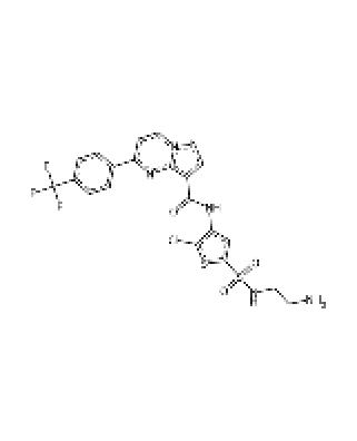 NCCNS(=O)(=O)c1cc(NC(=O)c2cnn3ccc(-c4ccc(C(F)(F)F)cc4)nc23)c(Cl)s1